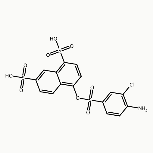 Nc1ccc(S(=O)(=O)Oc2ccc(S(=O)(=O)O)c3cc(S(=O)(=O)O)ccc23)cc1Cl